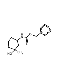 CC1(O)CCCC(NC(=O)OCc2ccccc2)C1